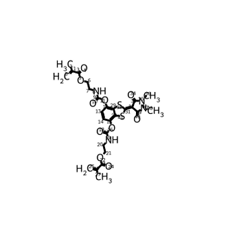 C=C(C)C(=O)OCCNC(=O)Oc1ccc(OC(=O)NCCOC(=O)C(=C)C)c2c1SC(=C1C(=O)N(C)N(C)C1=O)S2